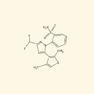 Cc1csc(C)c1-c1cc(C(F)F)nn1-c1ccccc1S(N)(=O)=O